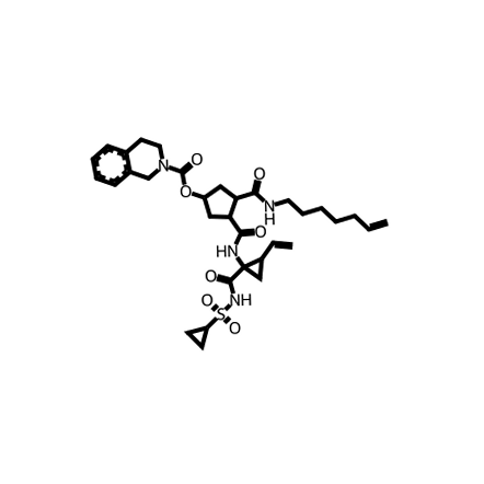 C=CCCCCCNC(=O)C1CC(OC(=O)N2CCc3ccccc3C2)CC1C(=O)NC1(C(=O)NS(=O)(=O)C2CC2)CC1C=C